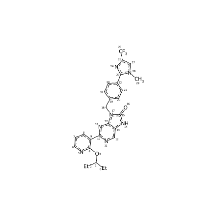 CCC(CC)Oc1ncccc1-c1ncc2[nH]c(=O)n(Cc3ccc(-c4nc(C(F)(F)F)cn4C)cc3)c2n1